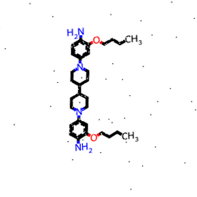 CCCCOc1cc(N2CCC(C3CCN(c4ccc(N)c(OCCCC)c4)CC3)CC2)ccc1N